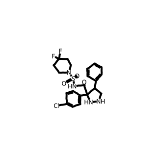 O=C(NS(=O)(=O)N1CCC(F)(F)CC1)C1(c2ccc(Cl)cc2)NNCC1c1ccccc1